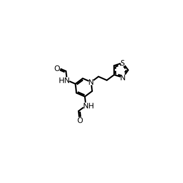 O=CNC1=CN(CCc2cscn2)CC(NC=O)=C1